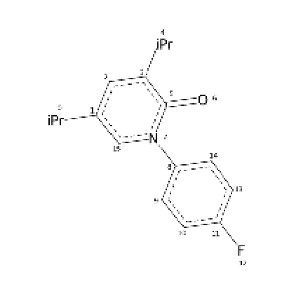 CC(C)c1cc(C(C)C)c(=O)n(-c2ccc(F)cc2)c1